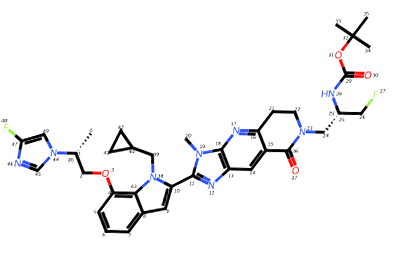 C[C@H](COc1cccc2cc(-c3nc4cc5c(nc4n3C)CCN(C[C@@H](CF)NC(=O)OC(C)(C)C)C5=O)n(CC3CC3)c12)n1cnc(F)c1